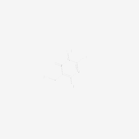 CCc1nc(C(F)(F)F)c(CBr)c(=O)n1C